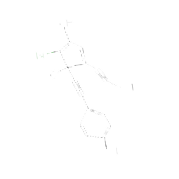 CC#CC1=CC(C)=C(Br)C1(C)C#Cc1ccc(C)cc1